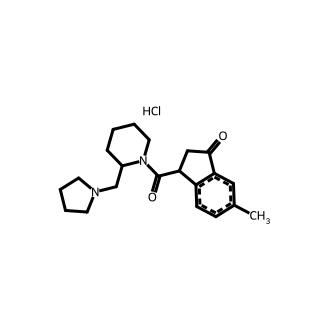 Cc1ccc2c(c1)C(=O)CC2C(=O)N1CCCCC1CN1CCCC1.Cl